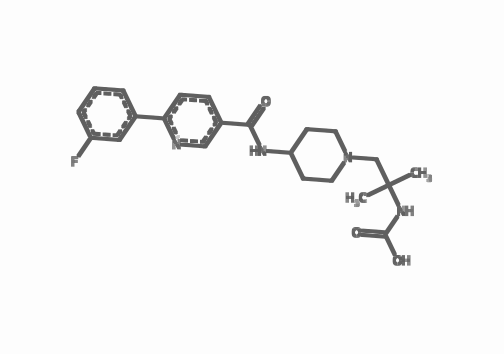 CC(C)(CN1CCC(NC(=O)c2ccc(-c3cccc(F)c3)nc2)CC1)NC(=O)O